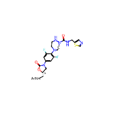 CC(=O)NC[C@H]1CN(c2cc(F)c(N3CCNN(C(=O)NCc4cncs4)CC3)c(F)c2)C(=O)O1